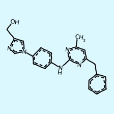 Cc1cc(Cc2ccccc2)nc(Nc2ccc(-n3cnc(CO)c3)cc2)n1